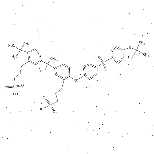 CC(C)(C)Oc1ccc(S(=O)(=O)c2ccc(Oc3ccc(C(C)(C)c4ccc(C(C)(C)C)c(CCCS(=O)(=O)O)c4)cc3CCCS(=O)(=O)O)cc2)cc1